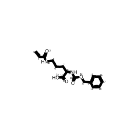 C=CC(=O)NCCCC(NC(=O)OCc1ccccc1)C(=O)O